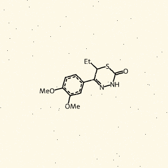 CCC1SC(=O)NN=C1c1ccc(OC)c(OC)c1